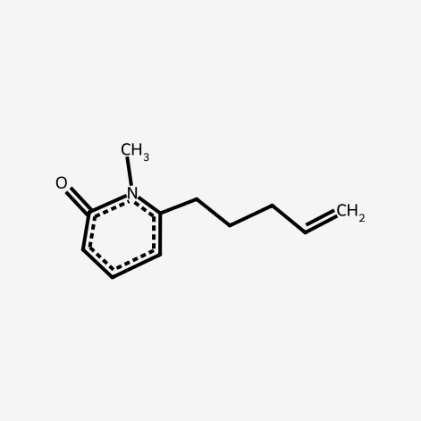 C=CCCCc1cccc(=O)n1C